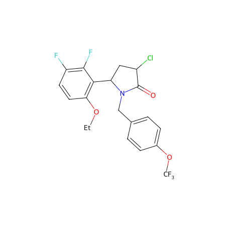 CCOc1ccc(F)c(F)c1C1CC(Cl)C(=O)N1Cc1ccc(OC(F)(F)F)cc1